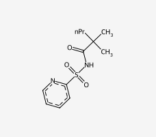 CCCC(C)(C)C(=O)NS(=O)(=O)c1ccccn1